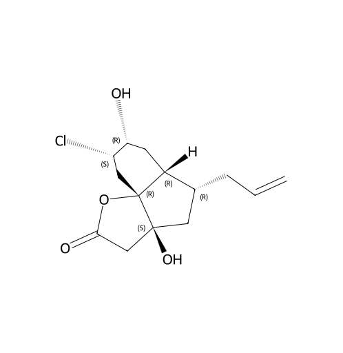 C=CC[C@@H]1C[C@]2(O)CC(=O)O[C@@]23C[C@H](Cl)[C@H](O)C[C@H]13